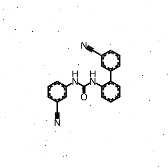 N#Cc1cccc(NC(=O)Nc2ccccc2-c2cccc(C#N)c2)c1